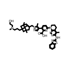 Cc1c(Nc2nc3ccccc3s2)nnc2c1CCCN2c1ccc(-c2cnn(CC34CC5(C)CC6(CCCN(C)CCO)CC(C)(C3)C56C4)c2C)c(C(=O)O)n1